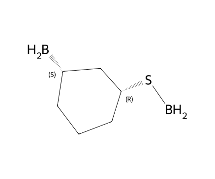 BS[C@@H]1CCC[C@H](B)C1